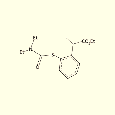 CCOC(=O)C(C)c1ccccc1SC(=O)N(CC)CC